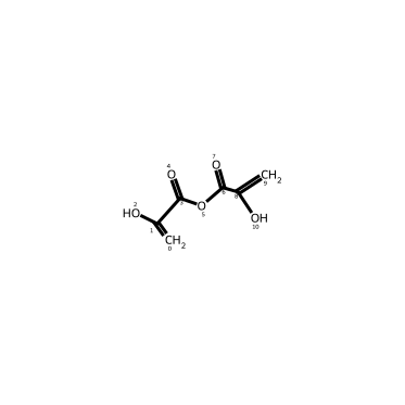 C=C(O)C(=O)OC(=O)C(=C)O